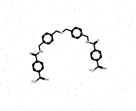 N=C(N)c1ccc(C(=O)NCc2ccc(COCc3ccc(CNC(=O)c4ccc(C(=N)N)cc4)cc3)cc2)cc1